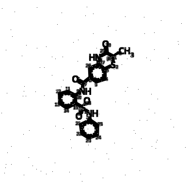 C[C@H]1Sc2ccc(C(=O)Nc3ccccc3S(=O)(=O)Nc3ccccc3)cc2NC1=O